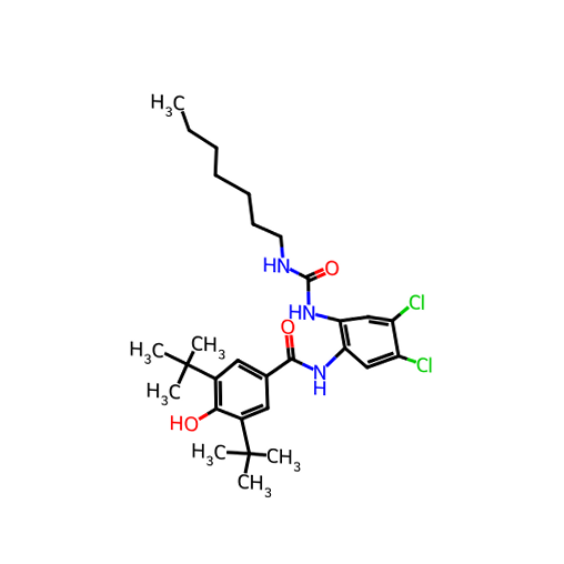 CCCCCCCNC(=O)Nc1cc(Cl)c(Cl)cc1NC(=O)c1cc(C(C)(C)C)c(O)c(C(C)(C)C)c1